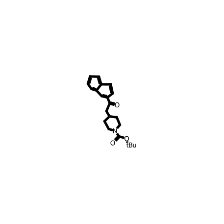 CC(C)(C)OC(=O)N1CCC(CC(=O)c2ccc3ccccc3c2)CC1